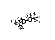 COc1cc(C(C)(C)C#N)ccc1-c1ccc(C(O)(c2cncnc2)C(C)(C)C)nc1